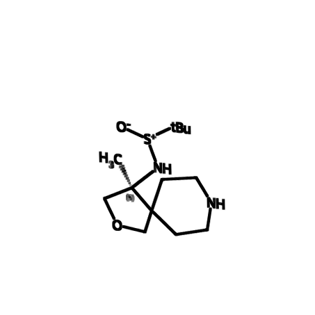 CC(C)(C)[S+]([O-])N[C@]1(C)COCC12CCNCC2